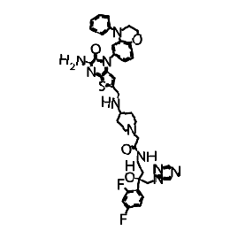 Nc1nc2sc(CNC3CCN(CC(=O)NCCC(O)(Cn4cncn4)c4ccc(F)cc4F)CC3)cc2n(-c2ccc3c(c2)N(c2ccccc2)CCO3)c1=O